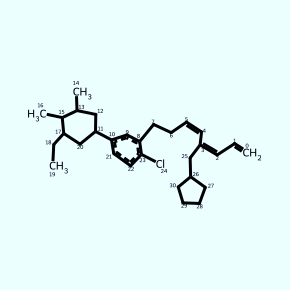 C=C/C=C(\C=C/CCc1cc(C2CC(C)C(C)C(CC)C2)ccc1Cl)CC1CCCC1